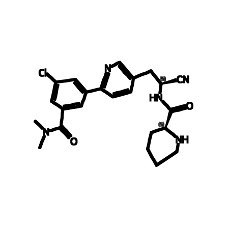 CN(C)C(=O)c1cc(Cl)cc(-c2ccc(C[C@@H](C#N)NC(=O)[C@@H]3CCCCN3)cn2)c1